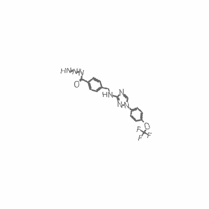 N=[N+]=NC(=O)c1ccc(CNc2ncn(-c3ccc(OC(F)(F)F)cc3)n2)cc1